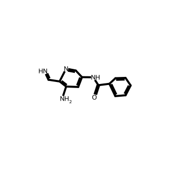 N=Cc1ncc(NC(=O)c2ccccc2)cc1N